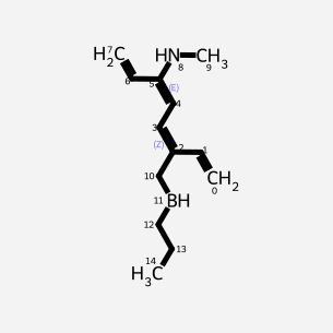 C=C/C(=C\C=C(/C=C)NC)CBCCC